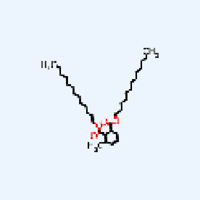 CCCCCCCCCCCCCOC(=O)C1CC=CC(C)C1C(=O)OCCCCCCCCCCCCC